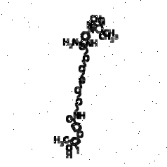 Cc1cc(Oc2ccc(C(=O)NCCCOCCOCCOCCOCCOCCCNc3cc(-n4nc(C)c5c4CC(C)(C)CC5=O)ccc3C(N)=O)cc2)cc(I)c1O